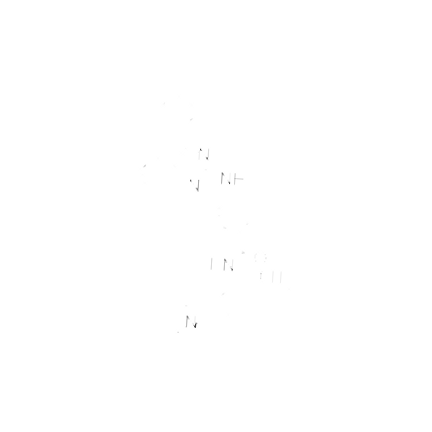 Cc1ccc(CN2C3CCC2CC3)cc1NC(=O)c1ccc(Nc2nc(-c3ccccc3)c3ccccc3n2)cc1